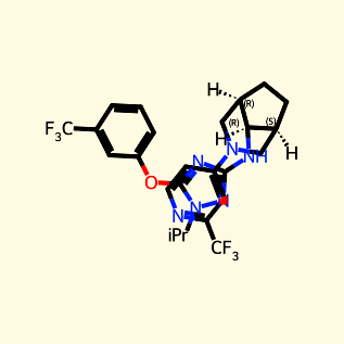 CC(C)n1nc(N[C@H]2[C@@H]3CC[C@H]2CN(c2ccnc(C(F)(F)F)c2)C3)nc1Oc1cccc(C(F)(F)F)c1